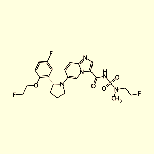 CN(CCF)S(=O)(=O)NC(=O)c1cnc2ccc(N3CCC[C@@H]3c3cc(F)ccc3OCCF)cn12